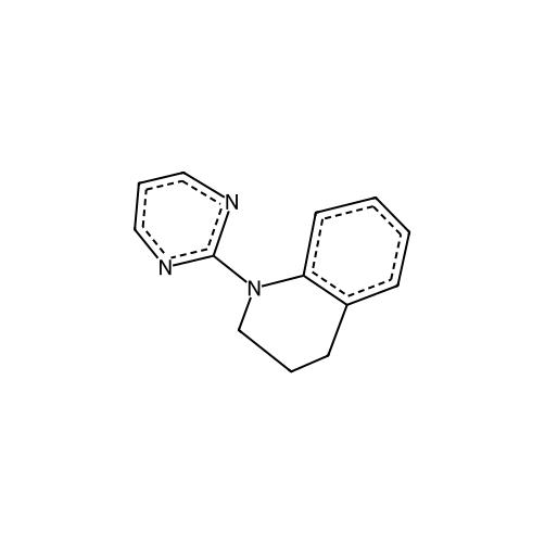 c1cnc(N2CCCc3ccccc32)nc1